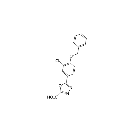 O=C(O)c1nnc(-c2ccc(OCc3ccccc3)c(Cl)c2)o1